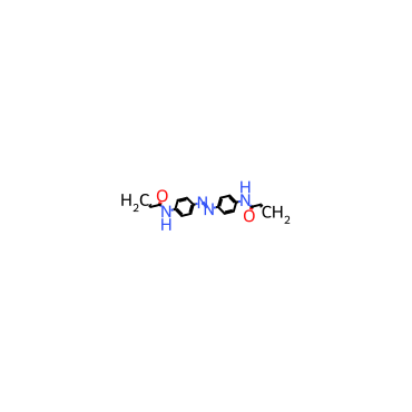 C=CC(=O)Nc1ccc(N=Nc2ccc(NC(=O)C=C)cc2)cc1